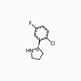 Fc1ccc(Cl)c([C@H]2CCCN2)c1